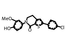 COc1cc(N2CCc3cc(-c4ccc(Cl)cc4)sc3C2=O)ccc1O